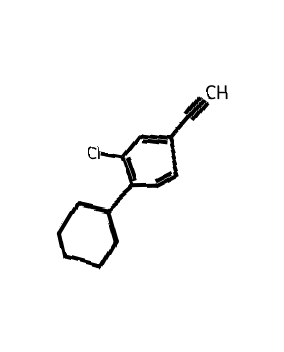 C#Cc1ccc(C2CCCCC2)c(Cl)c1